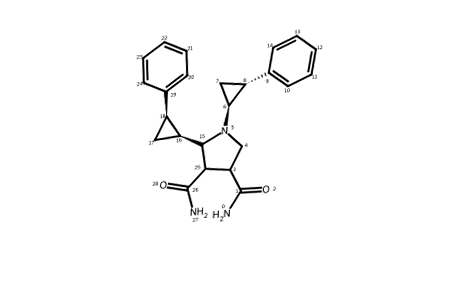 NC(=O)C1CN([C@H]2C[C@@H]2c2ccccc2)C([C@H]2C[C@H]2c2ccccc2)C1C(N)=O